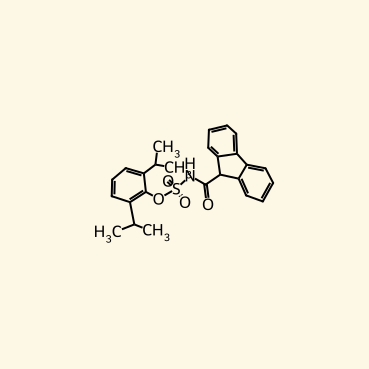 CC(C)c1cccc(C(C)C)c1OS(=O)(=O)NC(=O)C1c2ccccc2-c2ccccc21